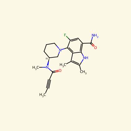 CC#CC(=O)N(C)[C@H]1CCCN(c2c(F)cc(C(N)=O)c3[nH]c(C)c(C)c23)C1